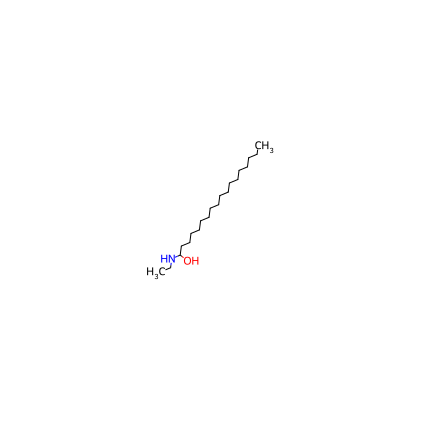 CCCCCCCCCCCCCCCCCC(O)NCC